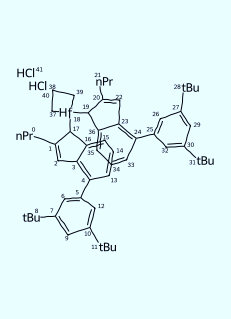 CCCC1=Cc2c(-c3cc(C(C)(C)C)cc(C(C)(C)C)c3)cccc2[CH]1[Hf]1([CH]2C(CCC)=Cc3c(-c4cc(C(C)(C)C)cc(C(C)(C)C)c4)cccc32)[CH2]C[CH2]1.Cl.Cl